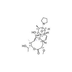 CO[C@H]1C[C@H]2C=C[C@H]3[C@H]4O[C@]2(/C(C)=C/[C@@H](C)[C@@H](C(C)O)OC1=O)[C@@H]3[C@H](O)[C@@H](C)[C@@H]4N1CCCC1